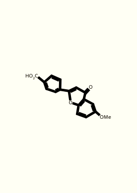 COc1ccc2oc(-c3ccc(C(=O)O)cc3)cc(=O)c2c1